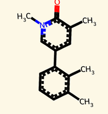 Cc1cccc(-c2cc(C)c(=O)n(C)c2)c1C